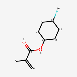 C=C(C)C(=O)OC1CCC(F)CC1